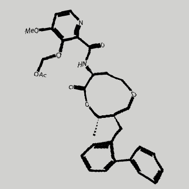 COc1ccnc(C(=O)N[C@H]2CCOC[C@@H](Cc3ccccc3-c3ccccc3)[C@H](C)OC2=O)c1OCOC(C)=O